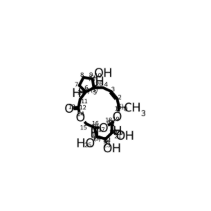 C[C@H]1C=CC[C@H]2[C@@H](CC[C@@H]2O)CC(=O)OC[C@H]2O[C@@H](O1)[C@H](O)[C@@H](O)[C@@H]2O